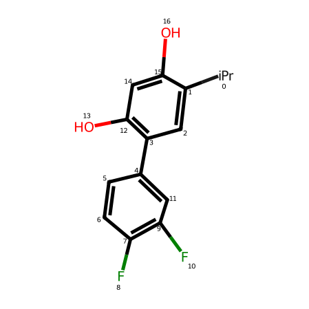 CC(C)c1cc(-c2ccc(F)c(F)c2)c(O)cc1O